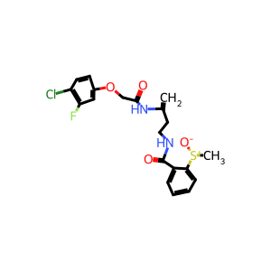 C=C(CCNC(=O)c1ccccc1[S+](C)[O-])NC(=O)COc1ccc(Cl)c(F)c1